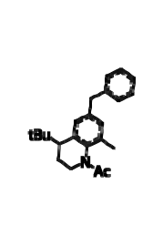 CC(=O)N1CCC(C(C)(C)C)c2cc(Cc3ccccc3)cc(C)c21